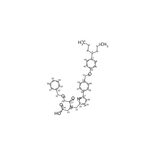 CCCC(CCC)c1ccc(OCc2ccc(-c3csc(CN(CC(=O)O)C(=O)COCc4ccccc4)n3)cc2)cc1